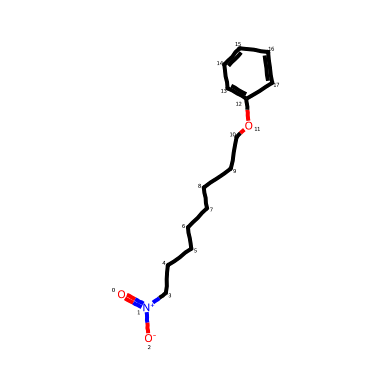 O=[N+]([O-])CCCCCCCCOc1ccccc1